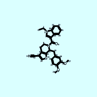 CCn1cc(C(=O)N2CCc3c(C#N)csc3C2Cc2ccc(OC)c(OC)c2)c2ccccc21